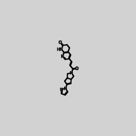 O=C1CCc2cc(/C=C/C(=O)N3CC4C=C(n5cccn5)CC4C3)cnc2N1